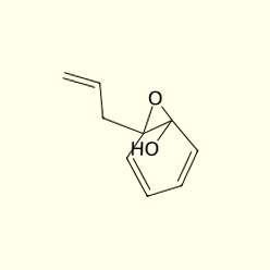 C=CCC12C=CC=CC1(O)O2